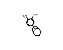 COc1cc(N2C3CCCC2CC3)ccc1N